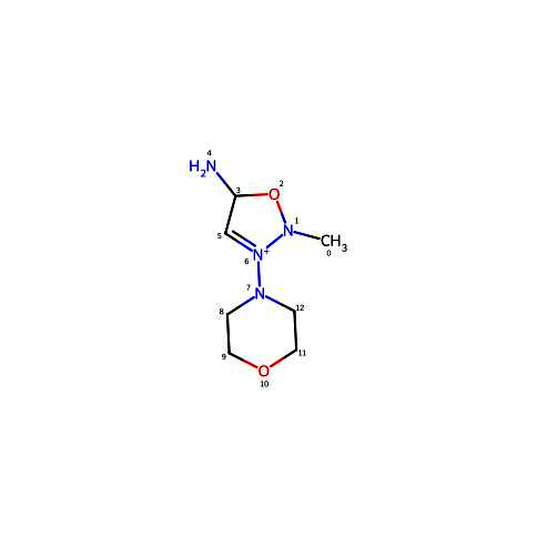 CN1OC(N)C=[N+]1N1CCOCC1